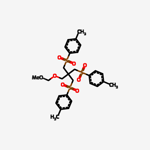 COCOCC(CS(=O)(=O)c1ccc(C)cc1)(CS(=O)(=O)c1ccc(C)cc1)CS(=O)(=O)c1ccc(C)cc1